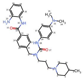 CC1CCN(CCCN(Cc2ccc(C(=O)Nc3ccccc3N)cc2)C(=O)Nc2ccc(N(C)C)cc2)CC1